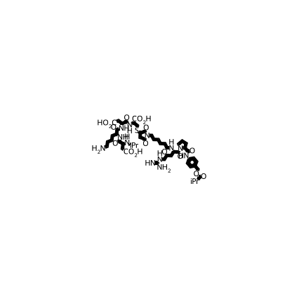 CC(C)NC(CC(=O)O)C(=O)NC(CCCCN)C(=O)NC(CC(=O)O)C(=O)NC(CSC1CC(=O)N(CCCCCC(=O)NC(CCCNC(=N)N)C(=O)N2CCCC2C(=O)Nc2ccc(COC(=O)C(C)C)cc2)C1=O)C(=O)O